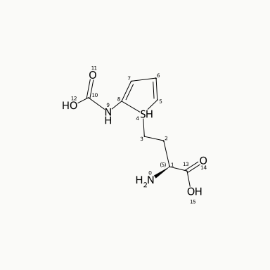 N[C@@H](CC[SH]1C=CC=C1NC(=O)O)C(=O)O